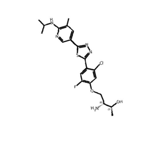 Cc1cc(-c2nnc(-c3cc(F)c(OC[C@@H](N)[C@H](C)O)cc3Cl)s2)cnc1NC(C)C